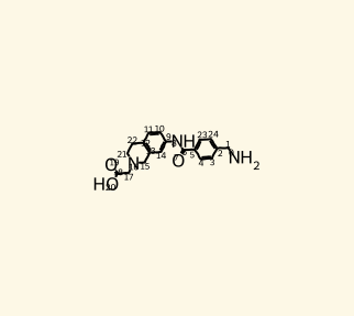 NCc1ccc(C(=O)Nc2ccc3c(c2)CN(CC(=O)O)CC3)cc1